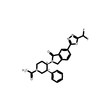 CC(=O)N1CC[C@@H](N2Cc3ccc(-c4nnc(C(F)F)o4)cc3C2=O)[C@@H](c2ccccc2)C1